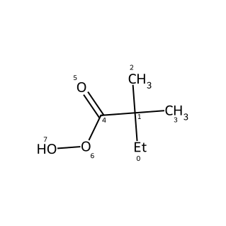 CCC(C)(C)C(=O)OO